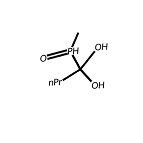 CCCC(O)(O)[PH](C)=O